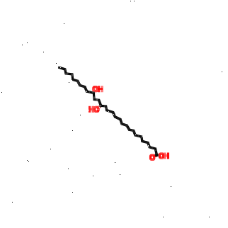 CCCCCCCCCC(O)CCC(O)CCCCCCCCCCCCCCCC(=O)O